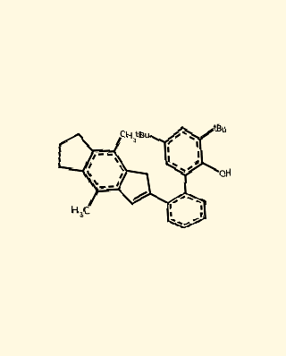 Cc1c2c(c(C)c3c1CCC3)CC(c1ccccc1-c1cc(C(C)(C)C)cc(C(C)(C)C)c1O)=C2